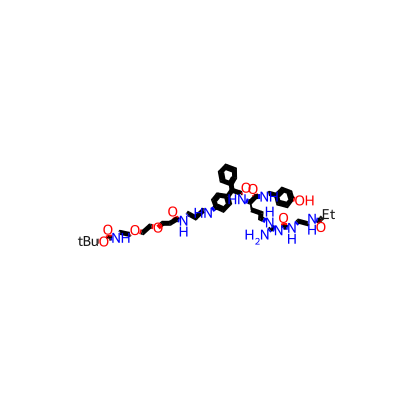 CCC(=O)NCCNC(=O)/N=C(/N)NCCC[C@@H](NC(=O)C(c1ccccc1)c1ccc(NCCCNC(=O)CCOCCOCCNC(=O)OC(C)(C)C)cc1)C(=O)NCc1ccc(O)cc1